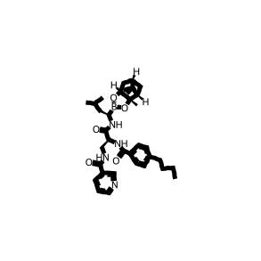 CCCCc1ccc(C(=O)N[C@@H](CNC(=O)c2cccnc2)C(=O)N[C@@H](CC(C)C)B2O[C@@H]3C[C@@H]4C[C@@H](C4(C)C)[C@]3(C)O2)cc1